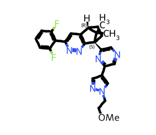 COCCn1cc(-c2cncc([C@@]34CC[C@@H](c5cc(-c6c(F)cccc6F)nnc53)C4(C)C)n2)cn1